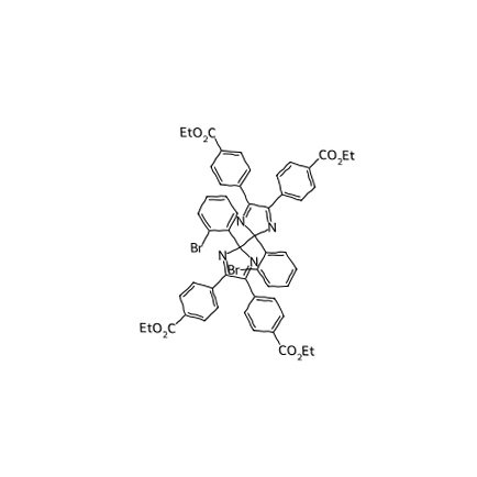 CCOC(=O)c1ccc(C2=NC(c3ccccc3Br)(C3(c4ccccc4Br)N=C(c4ccc(C(=O)OCC)cc4)C(c4ccc(C(=O)OCC)cc4)=N3)N=C2c2ccc(C(=O)OCC)cc2)cc1